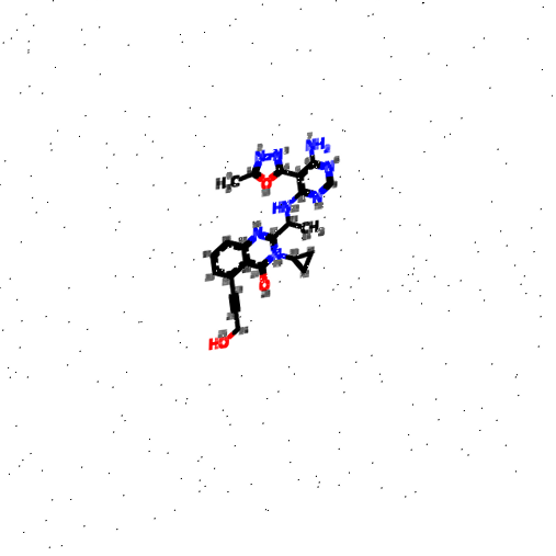 Cc1nnc(-c2c(N)ncnc2NC(C)c2nc3cccc(C#CCO)c3c(=O)n2C2CC2)o1